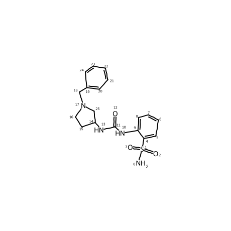 NS(=O)(=O)c1ccccc1NC(=O)NC1CCN(Cc2ccccc2)C1